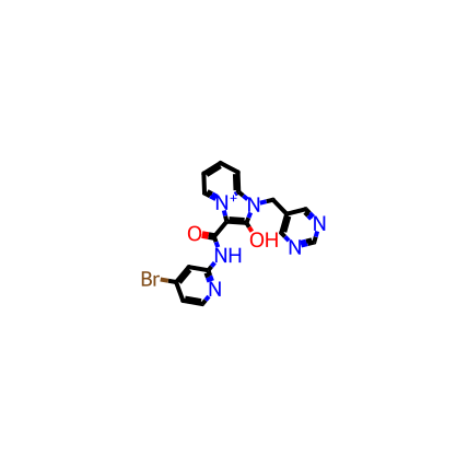 O=C(Nc1cc(Br)ccn1)c1c(O)n(Cc2cncnc2)c2cccc[n+]12